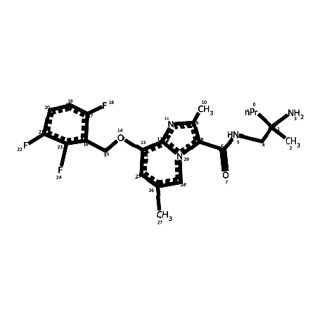 CCCC(C)(N)CNC(=O)c1c(C)nc2c(OCc3c(F)ccc(F)c3F)cc(C)cn12